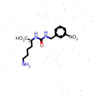 NCCCC[C@H](NC(=O)NCc1cccc([N+](=O)[O-])c1)C(=O)O